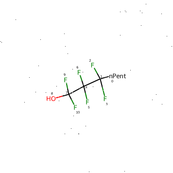 CCCCCC(F)(F)C(F)(F)C(O)(F)F